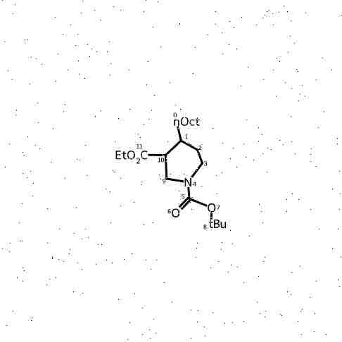 CCCCCCCCC1CCN(C(=O)OC(C)(C)C)CC1C(=O)OCC